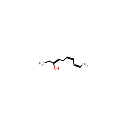 C/C=C\C=C/C/C=C(\O)CC